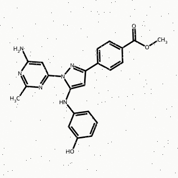 COC(=O)c1ccc(-c2cc(Nc3cccc(O)c3)n(-c3cc(N)nc(C)n3)n2)cc1